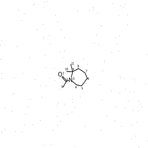 CC(=O)N1CCCCCC1(C)C